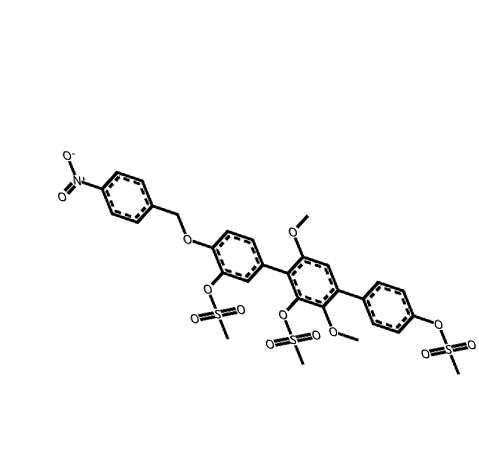 COc1cc(-c2ccc(OS(C)(=O)=O)cc2)c(OC)c(OS(C)(=O)=O)c1-c1ccc(OCc2ccc([N+](=O)[O-])cc2)c(OS(C)(=O)=O)c1